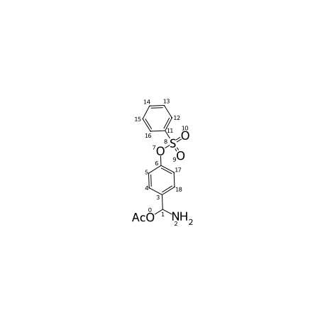 CC(=O)OC(N)c1ccc(OS(=O)(=O)c2ccccc2)cc1